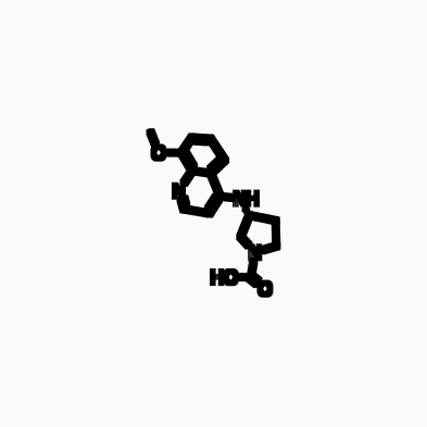 COc1cccc2c(N[C@@H]3CCN(C(=O)O)C3)ccnc12